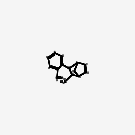 COc1ccccc1C1C2C=CC(C2)C1[N+](=O)[O-]